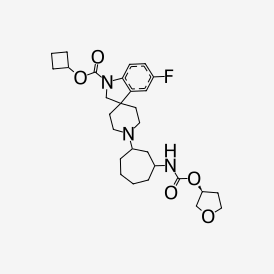 O=C(NC1CCCCC(N2CCC3(CC2)CN(C(=O)OC2CCC2)c2ccc(F)cc23)C1)O[C@H]1CCOC1